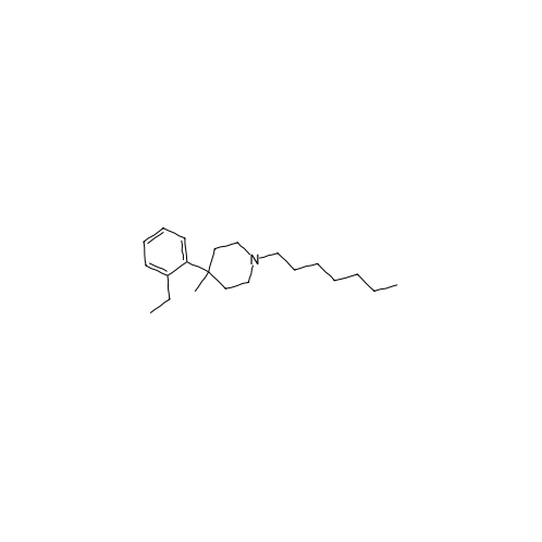 CCCCCCCN1CCC(C)(c2ccccc2CC)CC1